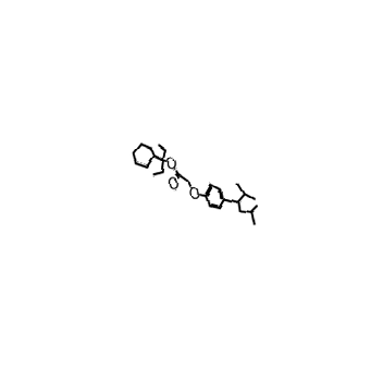 CCC(CC)(OC(=O)COc1ccc(C(CC(C)C)C(C)C)cc1)C1CCCCC1